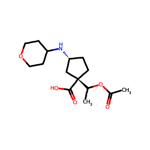 CC(=O)OC(C)[C@]1(C(=O)O)CC[C@@H](NC2CCOCC2)C1